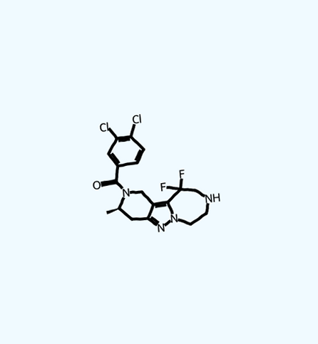 C[C@@H]1Cc2nn3c(c2CN1C(=O)c1ccc(Cl)c(Cl)c1)C(F)(F)CNCC3